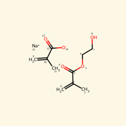 C=C(C)C(=O)OCCO.C=C(C)C(=O)[O-].[Na+]